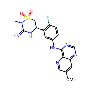 COc1cnc2c(Nc3ccc(F)c([C@@H]4CS(=O)(=O)N(C)C(=N)N4)c3)ncnc2c1